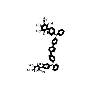 BC/C(O)=C(O)\C(=C(\O)CC)c1ccc(N(c2ccccc2)c2ccc(-c3ccc(-c4ccc(N(c5ccccc5)c5ccc(-c6c(O)c(B)c(O)c(O)c6O)cc5)cc4)cc3)cc2)cc1